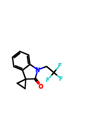 O=C1N(CC(F)(F)F)c2ccccc2C12CC2